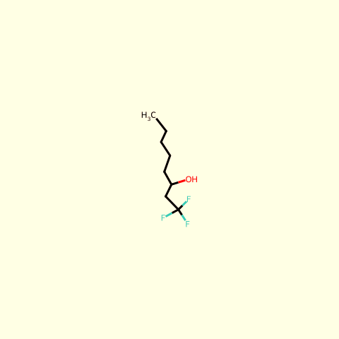 CCCCCC(O)CC(F)(F)F